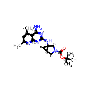 Cc1cc(C)c2c(N)nc(NC34CC3CN(C(=O)OC(C)(C)C)C4)nc2n1